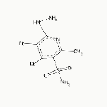 CCc1c(NN)nc(C)c(S(N)(=O)=O)c1CC